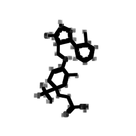 CC1=CC(CCC(=O)O)(C(F)(F)F)CC=C1OCc1c(Cl)nsc1-c1ccccc1C